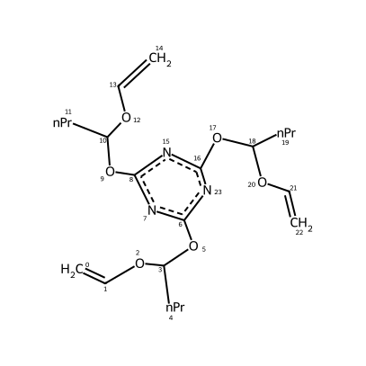 C=COC(CCC)Oc1nc(OC(CCC)OC=C)nc(OC(CCC)OC=C)n1